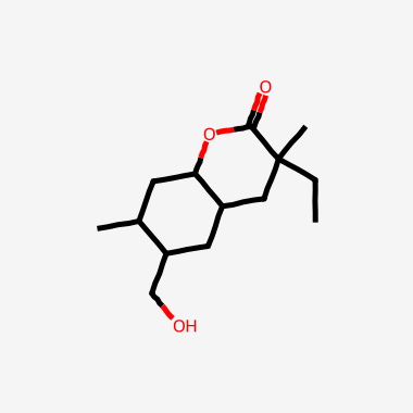 CCC1(C)CC2CC(CO)C(C)CC2OC1=O